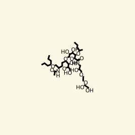 CCCC(C)OC1C(C(=O)NCC(O)COCCOC(O)CO)OC(OC2CC(C(COC(CCC)CCC)NC(C)=O)OC(CO)C2O)C(O)C1O